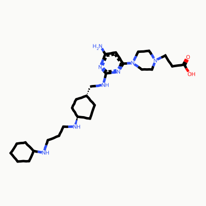 Nc1cc(N2CCN(CCC(=O)O)CC2)nc(NC[C@H]2CC[C@H](NCCCNC3CCCCC3)CC2)n1